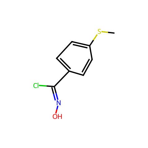 CSc1ccc(/C(Cl)=N/O)cc1